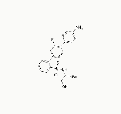 CC(C)(C)[C@H](CO)NS(=O)(=O)c1ccccc1-c1ccc(-c2cnc(N)cn2)c(F)c1